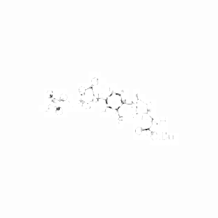 CC(C)COC(=O)N[C@@H]1CCN(c2ccc(N3C[C@H](COS(C)(=O)=O)OC3=O)cc2F)C1